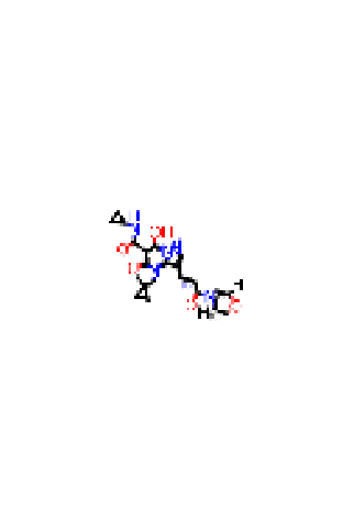 CC1(Cn2c(=O)c(C(=O)NC3CC3)c(O)n3ncc(/C=C/C(=O)N4C[C@H]5C[C@@H]4CO5)c23)CC1